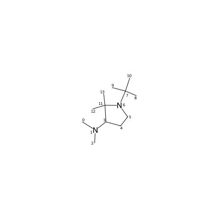 CN(C)C1CCN(C(C)(C)C)C1(C)C